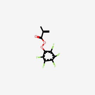 C=C(C)C(=O)OOc1c(F)c(F)c(F)c(F)c1F